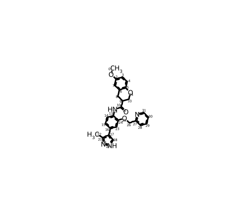 COc1ccc2c(c1)CC(C(=O)Nc1ccc(-c3c[nH]nc3C)cc1OCc1ccccn1)CO2